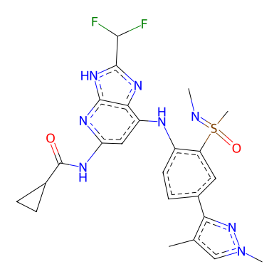 CN=S(C)(=O)c1cc(-c2nn(C)cc2C)ccc1Nc1cc(NC(=O)C2CC2)nc2[nH]c(C(F)F)nc12